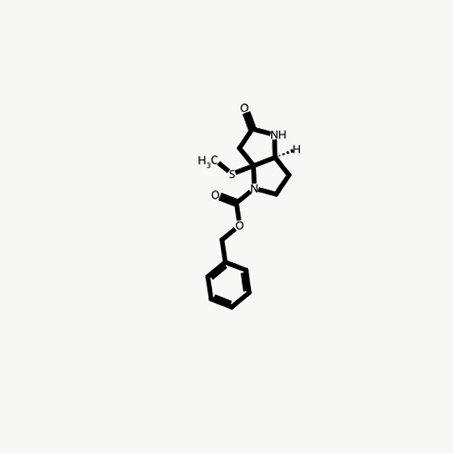 CSC12CC(=O)N[C@H]1CCN2C(=O)OCc1ccccc1